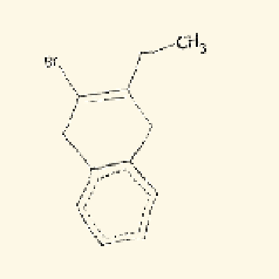 CCC1=C(Br)Cc2ccccc2C1